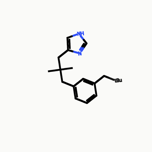 CC(C)(C)Cc1cccc(CC(C)(C)Cc2c[nH]cn2)c1